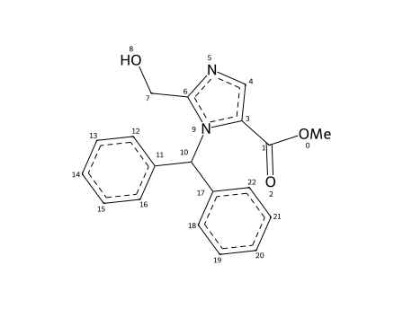 COC(=O)c1cnc(CO)n1C(c1ccccc1)c1ccccc1